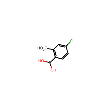 O=C(O)c1cc(Cl)ccc1B(O)O